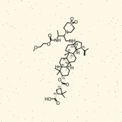 C=C(C)[C@@H]1CC[C@]2(NCC(C(C)NC(=O)OCCOC)N3CCS(=O)(=O)CC3)CC[C@]3(C)[C@H](CC[C@@H]4[C@@]5(C)CC[C@H](OC(=O)[C@H]6C[C@@H](C(=O)O)C6(C)C)C(C)(C)[C@@H]5CC[C@]43C)[C@@H]12